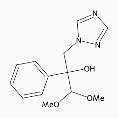 COC(OC)C(O)(Cn1cncn1)c1ccccc1